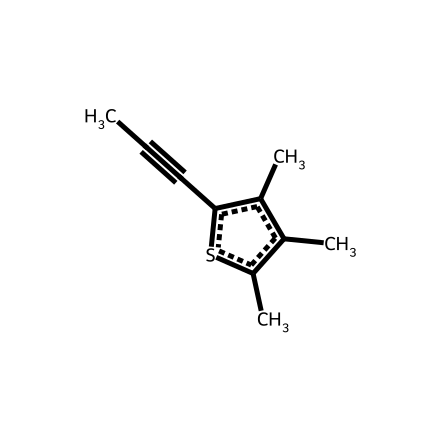 CC#Cc1sc(C)c(C)c1C